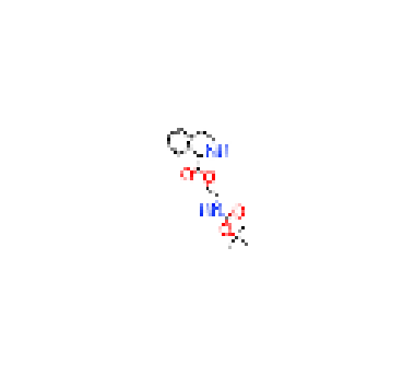 CC(C)(C)OC(=O)NCCOC(=O)C1NCCc2ccccc21